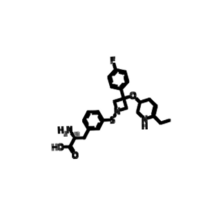 CCC1=CCC(OC2(c3ccc(F)cc3)CN(Sc3cccc(C[C@H](N)C(=O)O)c3)C2)CN1